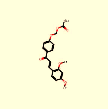 CCOc1ccc(C=CC(=O)c2ccc(OCOC(=O)C(C)(C)C)cc2)c(OCC)c1